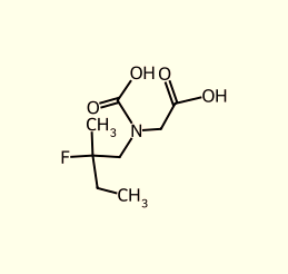 CCC(C)(F)CN(CC(=O)O)C(=O)O